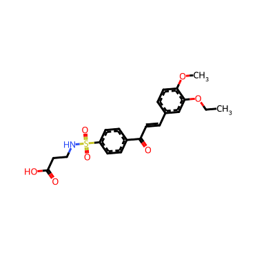 CCOc1cc(/C=C/C(=O)c2ccc(S(=O)(=O)NCCC(=O)O)cc2)ccc1OC